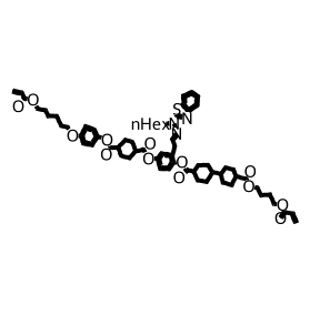 C=CC(=O)OCCCCCCOc1ccc(OC(=O)C2CCC(C(=O)Oc3ccc(OC(=O)C4CCC(C5CCC(C(=O)OCCCCOC(=O)C=C)CC5)CC4)c(C/C=N/N(CCCCCC)c4nc5ccccc5s4)c3)CC2)cc1